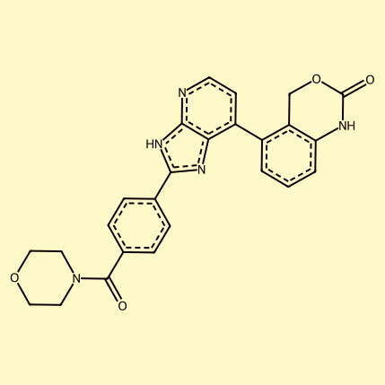 O=C1Nc2cccc(-c3ccnc4[nH]c(-c5ccc(C(=O)N6CCOCC6)cc5)nc34)c2CO1